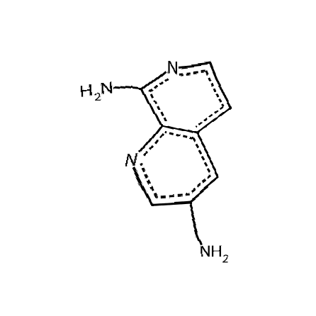 Nc1cnc2c(N)nccc2c1